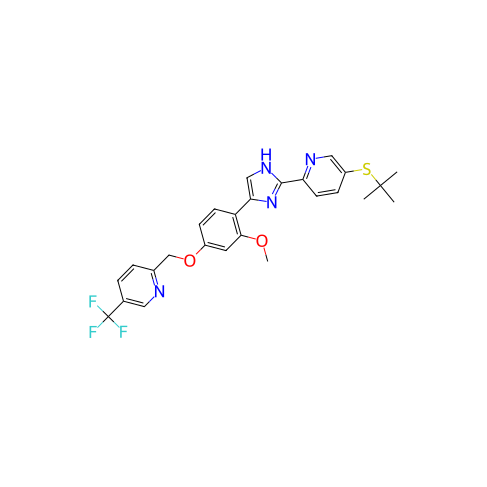 COc1cc(OCc2ccc(C(F)(F)F)cn2)ccc1-c1c[nH]c(-c2ccc(SC(C)(C)C)cn2)n1